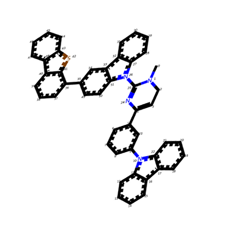 CN1CC=C(c2cccc(-n3c4ccccc4c4ccccc43)c2)N=C1n1c2ccccc2c2cc(-c3cccc4c3sc3ccccc34)ccc21